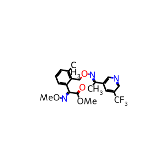 CO/N=C(/C(=O)OC)c1cccc(C)c1CO/N=C(\C)c1cncc(C(F)(F)F)c1